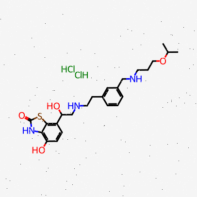 CC(C)OCCCNCc1cccc(CCNCC(O)c2ccc(O)c3[nH]c(=O)sc23)c1.Cl.Cl